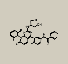 C/C=C\C(=C/C)C(=O)Nc1ccc(C)c(-c2nc(NC(CO)CO)nc3c2ccc(=O)n3-c2c(F)cccc2F)c1